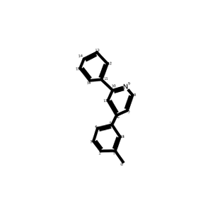 Cc1cccc(-c2ccnc(-c3ccccc3)c2)c1